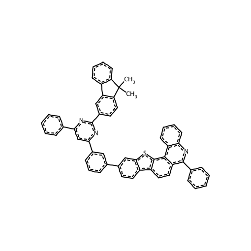 CC1(C)c2ccccc2-c2cc(-c3nc(-c4ccccc4)cc(-c4cccc(-c5ccc6c(c5)sc5c6ccc6c(-c7ccccc7)nc7ccccc7c65)c4)n3)ccc21